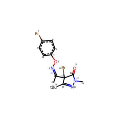 C/C(=N/Oc1ccc(Br)cc1)C1(Br)C(=O)N(C)N=C1C(C)(C)C